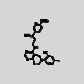 COc1ccc([C@H](O)CCNc2ncnc3c2CN(c2ccc(C)cc2C#N)CC3)cn1